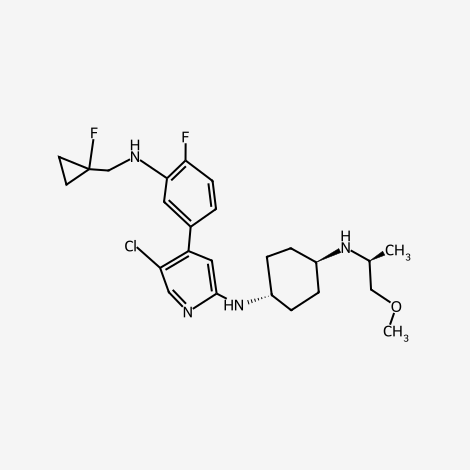 COC[C@H](C)N[C@H]1CC[C@H](Nc2cc(-c3ccc(F)c(NCC4(F)CC4)c3)c(Cl)cn2)CC1